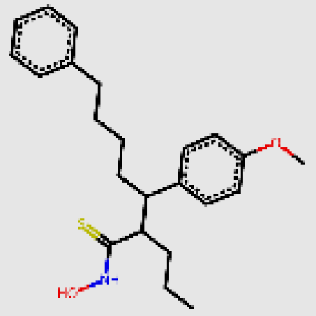 CCCC(C(=S)NO)C(CCCCc1ccccc1)c1ccc(OC)cc1